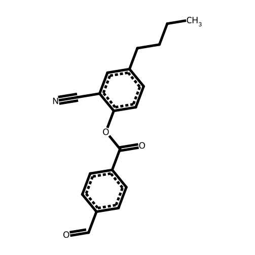 CCCCc1ccc(OC(=O)c2ccc(C=O)cc2)c(C#N)c1